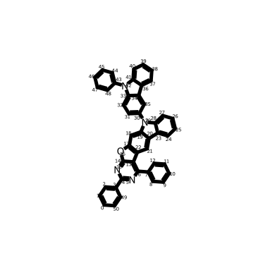 c1ccc(-c2nc(-c3ccccc3)c3c(n2)oc2cc4c(cc23)c2ccccc2n4-c2ccc3c(c2)c2ccccc2n3-c2ccccc2)cc1